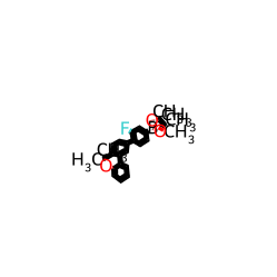 CC1(C)Oc2ccccc2-c2cc(-c3ccc(B4OC(C)(C)C(C)(C)O4)cc3F)ccc21